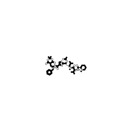 CC(=O)O[C@H](C[C@H](C(C)C)N(C)C(=O)[C@@H](NC(=O)[C@H]1CCCCN1C)C(C)C)c1nc(C(=O)N[C@@H](Cc2ccccc2)CC2C(=O)OC(C)(C)OC2=O)cs1